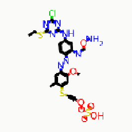 CCSc1nc(Cl)nc(Nc2ccc(N=Nc3cc(C)c(SC#COOS(=O)(=O)O)cc3OC)c(/N=C\ON)c2)n1